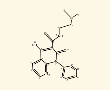 CN(C)CCNC(=O)c1c(O)c2cccnc2n(-c2ccccc2)c1=O